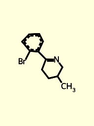 CC1CCC(c2ccccc2Br)=NC1